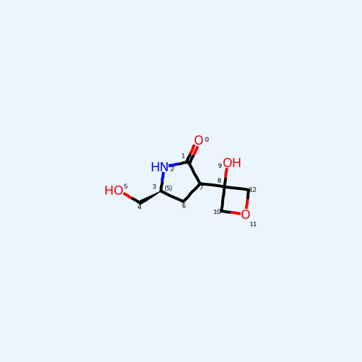 O=C1N[C@H](CO)CC1C1(O)COC1